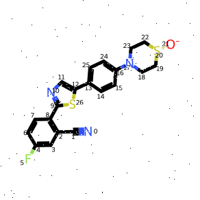 N#Cc1cc(F)ccc1-c1ncc(-c2ccc(N3CC[S+]([O-])CC3)cc2)s1